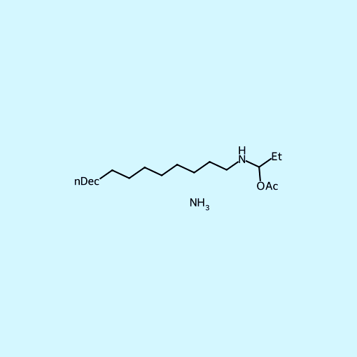 CCCCCCCCCCCCCCCCCCNC(CC)OC(C)=O.N